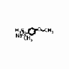 CCOc1ccc([Si](C)(C)[Na])cc1